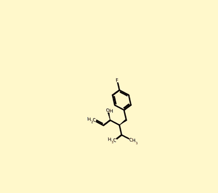 C=C[C@@H](O)[C@@H](Cc1ccc(F)cc1)C(C)C